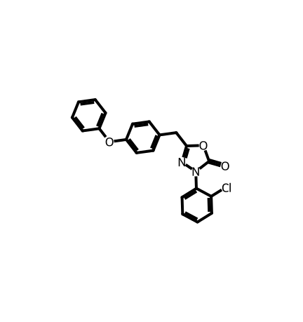 O=c1oc(Cc2ccc(Oc3ccccc3)cc2)nn1-c1ccccc1Cl